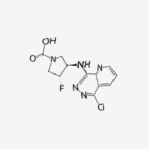 O=C(O)N1C[C@@H](F)[C@H](Nc2nnc(Cl)c3cccnc23)C1